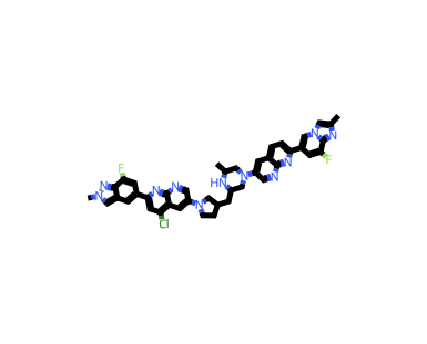 Cc1cn2cc(-c3ccc4cc(N5CC(C)NC(CC6CCN(c7cnc8nc(-c9cc(F)c%10nn(C)cc%10c9)cc(Cl)c8c7)C6)C5)cnc4n3)cc(F)c2n1